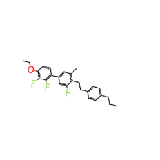 CCCc1ccc(CCc2c(C)cc(-c3ccc(OCC)c(F)c3F)cc2F)cc1